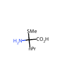 CCCC(N)(SC)C(=O)O